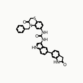 O=C1Cc2ccc(-c3ccc4[nH]cc(NC(=O)Nc5ccc6c(c5)N(Cc5ccccc5)C(=O)CS6)c4c3)cc2N1